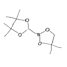 CC1(C)COB(C2OC(C)(C)C(C)(C)O2)O1